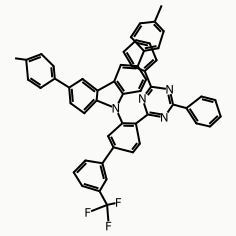 Cc1ccc(-c2ccc3c(c2)c2cc(-c4ccc(C)cc4)ccc2n3-c2cc(-c3cccc(C(F)(F)F)c3)ccc2-c2nc(-c3ccccc3)nc(-c3ccccc3)n2)cc1